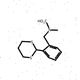 CN(Cc1ccccc1C1SCCCS1)C(=O)O